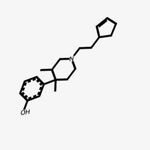 CC1CN(CCC2C=CCC2)CCC1(C)c1cccc(O)c1